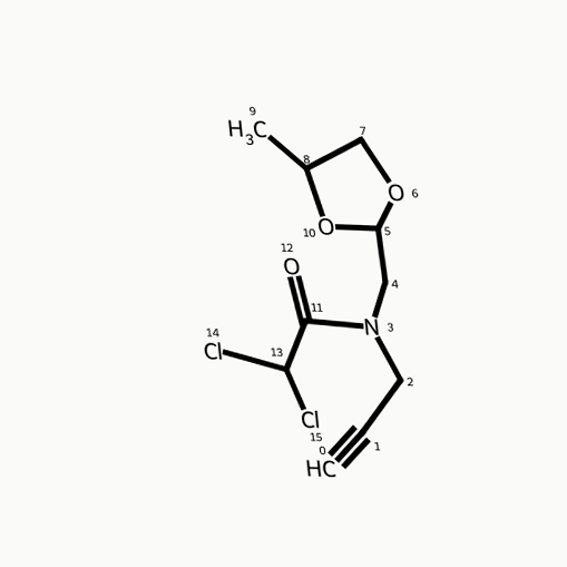 C#CCN(CC1OCC(C)O1)C(=O)C(Cl)Cl